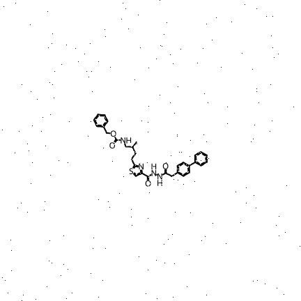 CC(CCc1nc(C(=O)NNC(=O)Cc2ccc(-c3ccccc3)cc2)cs1)CNC(=O)OCc1ccccc1